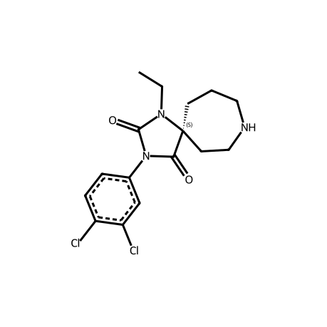 CCN1C(=O)N(c2ccc(Cl)c(Cl)c2)C(=O)[C@@]12CCCNCC2